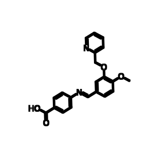 COc1ccc(/C=N/c2ccc(C(=O)O)cc2)cc1OCc1ccccn1